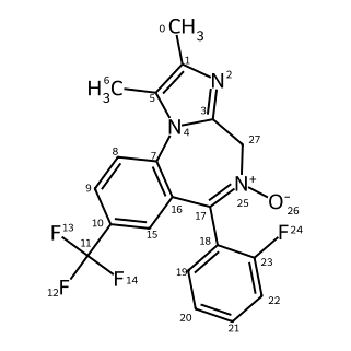 Cc1nc2n(c1C)-c1ccc(C(F)(F)F)cc1C(c1ccccc1F)=[N+]([O-])C2